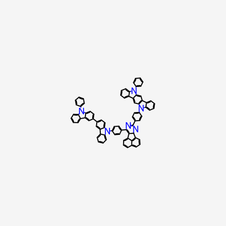 c1ccc(-n2c3ccccc3c3cc(-c4ccc5c(c4)c4ccccc4n5-c4ccc(-c5nc(-c6ccc(-n7c8ccccc8c8cc9c(cc87)c7ccccc7n9-c7ccccc7)cc6)nc6c5-c5cccc7cccc-6c57)cc4)ccc32)cc1